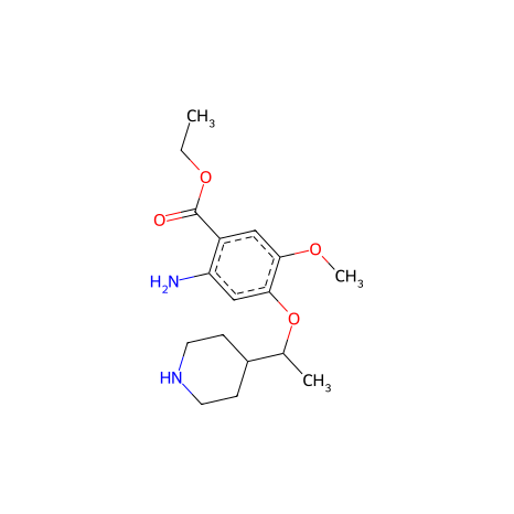 CCOC(=O)c1cc(OC)c(OC(C)C2CCNCC2)cc1N